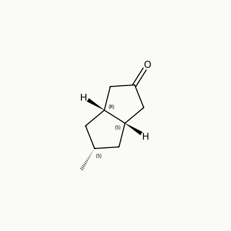 C[C@H]1C[C@H]2CC(=O)C[C@H]2C1